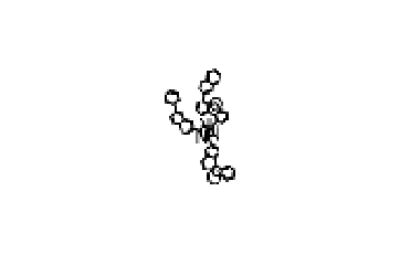 c1ccc(-c2ccc3ccc(-c4nc(-c5ccc6c(ccc7oc8ccccc8c76)c5)nc(-c5cccc6oc7c(-c8ccc9ccccc9c8)cccc7c56)n4)cc3c2)cc1